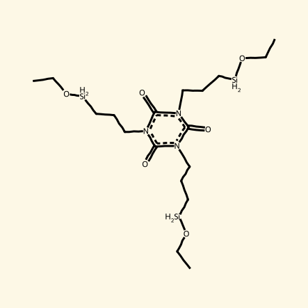 CCO[SiH2]CCCn1c(=O)n(CCC[SiH2]OCC)c(=O)n(CCC[SiH2]OCC)c1=O